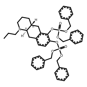 CCCN1CCC[C@@H]2Cc3c(ccc(OP(=O)(OCc4ccccc4)OCc4ccccc4)c3OP(=O)(OCc3ccccc3)OCc3ccccc3)C[C@H]21